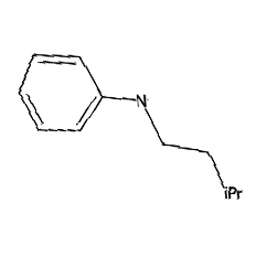 CC(C)CC[N]c1ccccc1